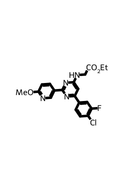 CCOC(=O)CNc1cc(-c2ccc(Cl)c(F)c2)nc(-c2ccc(OC)nc2)n1